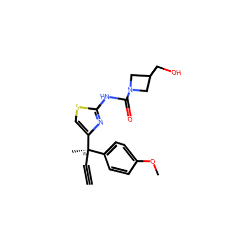 C#C[C@](C)(c1ccc(OC)cc1)c1csc(NC(=O)N2CC(CO)C2)n1